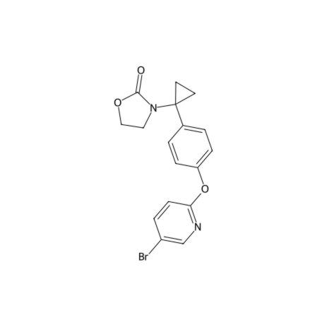 O=C1OCCN1C1(c2ccc(Oc3ccc(Br)cn3)cc2)CC1